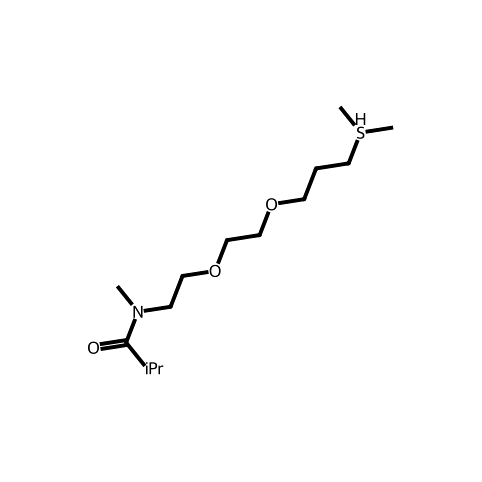 CC(C)C(=O)N(C)CCOCCOCCC[SH](C)C